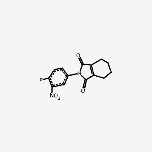 O=C1C2=C(CCCC2)C(=O)N1c1ccc(F)c([N+](=O)[O-])c1